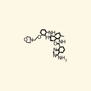 Cc1ccc2c(Nc3cccc(OCCN4CCOCC4)c3F)nccc2c1NC(=O)c1cccc2c(N)ncnc12